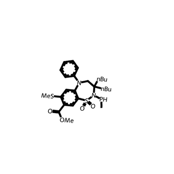 CCCCC1(CCCC)CN(c2ccccc2)c2cc(SC)c(C(=O)OC)cc2S(=O)(=O)N1PC